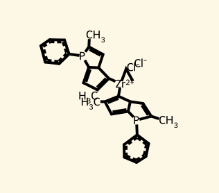 CC1=CC2C(=CC(C)=[C]2[Zr+2]2([C]3=C(C)C=C4C3C=C(C)P4c3ccccc3)[CH2][CH2]2)P1c1ccccc1.[Cl-].[Cl-]